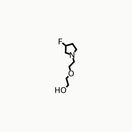 OCCOCCN1CCC(F)C1